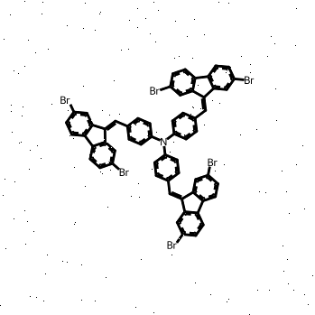 Brc1ccc2c(c1)C(=Cc1ccc(N(c3ccc(C=C4c5cc(Br)ccc5-c5ccc(Br)cc54)cc3)c3ccc(C=C4c5cc(Br)ccc5-c5ccc(Br)cc54)cc3)cc1)c1cc(Br)ccc1-2